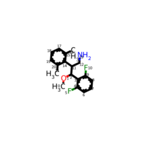 COC(c1c(F)cccc1F)C(CN)c1c(C)cccc1C